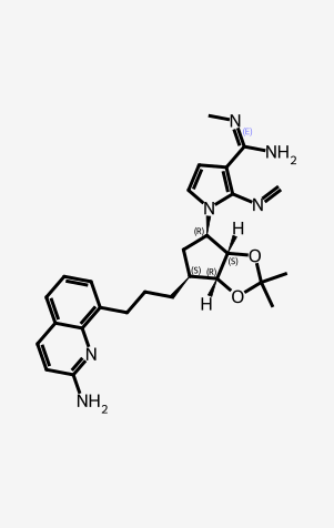 C=Nc1c(/C(N)=N\C)ccn1[C@@H]1C[C@H](CCCc2cccc3ccc(N)nc23)[C@H]2OC(C)(C)O[C@H]21